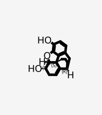 Oc1ccc2c3c1O[C@H]1[C@@H](O)CC=C4[C@H](CCC[C@]431)C2